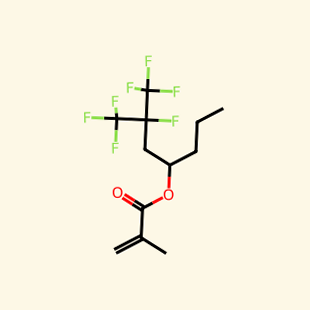 C=C(C)C(=O)OC(CCC)CC(F)(C(F)(F)F)C(F)(F)F